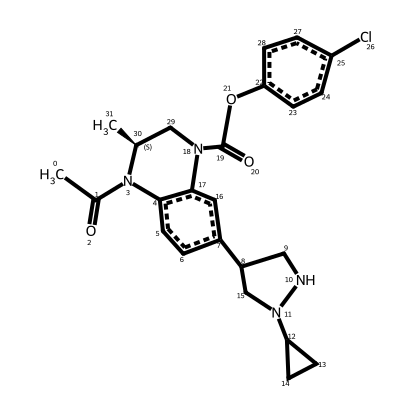 CC(=O)N1c2ccc(C3CNN(C4CC4)C3)cc2N(C(=O)Oc2ccc(Cl)cc2)C[C@@H]1C